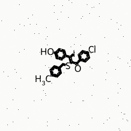 Cc1ccc(CSC(C(=O)c2ccc(Cl)cc2)=C(I)c2ccc(O)cc2)cc1